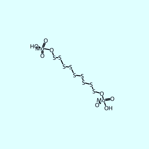 [O]=[Mo](=[O])([OH])[O]SSSSSSSSS[O][Mo](=[O])(=[O])[OH]